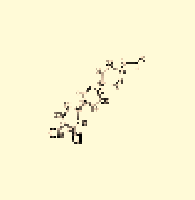 C/C=C/C1CCC(c2ccc(-c3ccc(Cl)c(Cl)c3)cc2)CC1